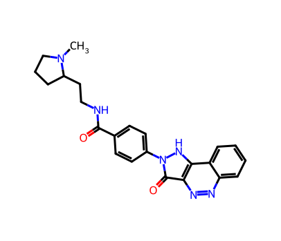 CN1CCCC1CCNC(=O)c1ccc(-n2[nH]c3c(nnc4ccccc43)c2=O)cc1